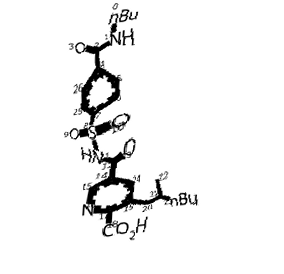 CCCCNC(=O)c1ccc(S(=O)(=O)NC(=O)c2cnc(C(=O)O)c(CC(C)CCCC)c2)cc1